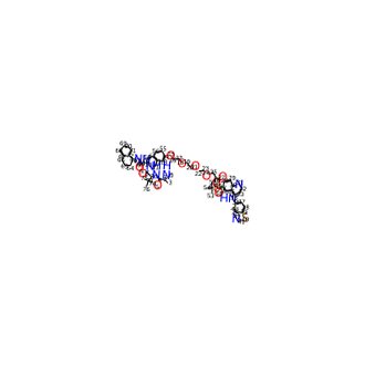 CN[C@@H](C)C(=O)NC(C(=O)N1Cc2cc(OCCOCCOCCOCCOc3cc4nccc(Nc5ccc6scnc6c5)c4cc3S(=O)(=O)C(C)(C)C)ccc2C[C@H]1C(=O)N[C@@H]1CCCc2ccccc21)C(C)(C)C